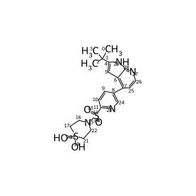 CC(C)(C)c1cc2c(-c3ccc(S(=O)(=O)N4CCS(O)(O)CC4)nc3)ccnc2[nH]1